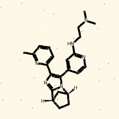 Cc1cccc(-c2nc3n(c2-c2ccnc(NCCN(C)C)c2)[C@@H]2CC[C@H]3C2)n1